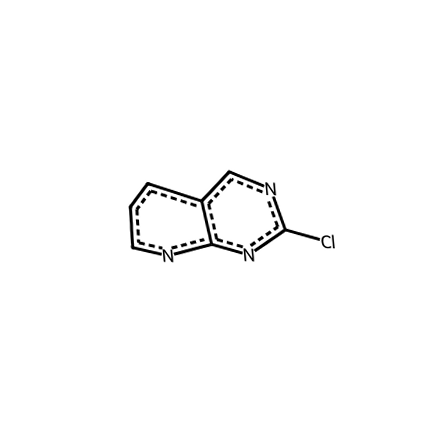 Clc1ncc2cccnc2n1